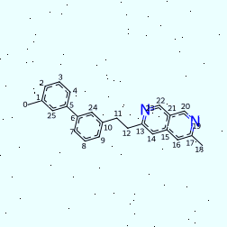 Cc1cccc(-c2cccc(CCc3cc4cc(C)ncc4cn3)c2)c1